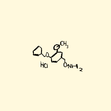 COc1cc(CON)ccc1OCc1ccccc1.Cl